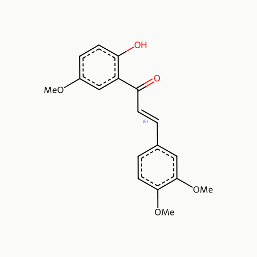 COc1ccc(O)c(C(=O)/C=C/c2ccc(OC)c(OC)c2)c1